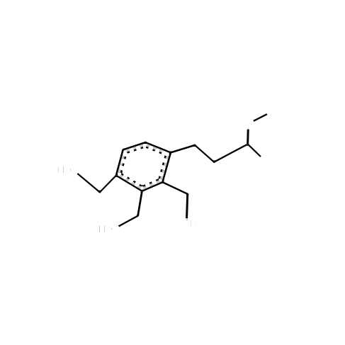 CCc1c[c]c(CCC(C)OC)c(CC)c1CC